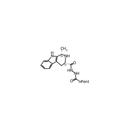 CCCCCC(=O)NNC(=O)[C@@H]1Cc2c([nH]c3ccccc23)[C@H](C)N1